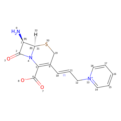 N[C@@H]1C(=O)N2C(C(=O)[O-])=C(/C=C/C[n+]3ccccc3)CS[C@H]12